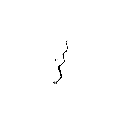 CCCCCCCCS.[C]